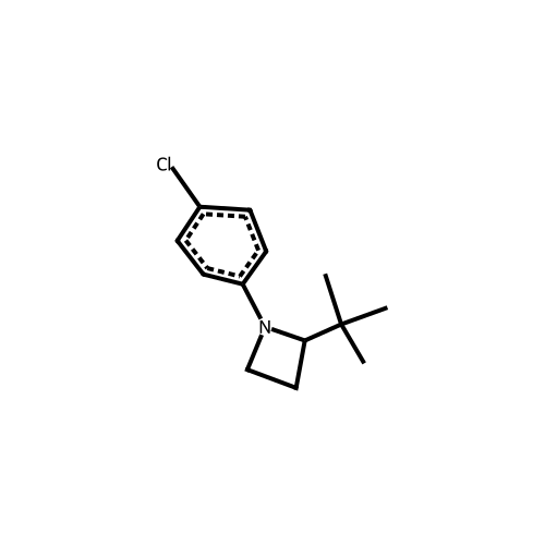 CC(C)(C)C1CCN1c1ccc(Cl)cc1